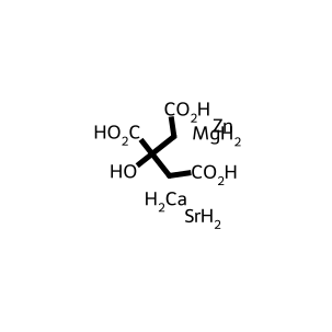 O=C(O)CC(O)(CC(=O)O)C(=O)O.[CaH2].[MgH2].[SrH2].[Zn]